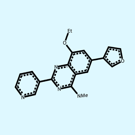 CCOc1cc(-c2ccoc2)cc2c(NC)nc(-c3cccnc3)nc12